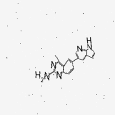 Cc1nc(N)nc2ccc(-c3cnc4[nH]ccc4c3)cc12